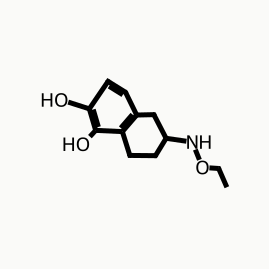 CCONC1CCc2c(ccc(O)c2O)C1